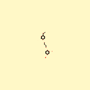 CCC(=O)c1ccc(OCCCCOc2ccc(OC=O)cc2OC)c(C)c1O